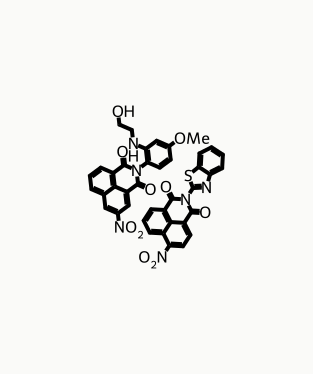 COc1ccc(N2C(=O)c3cccc4cc([N+](=O)[O-])cc(c34)C2=O)c(NCCO)c1.O=C1c2cccc3c([N+](=O)[O-])ccc(c23)C(=O)N1c1nc2ccccc2s1